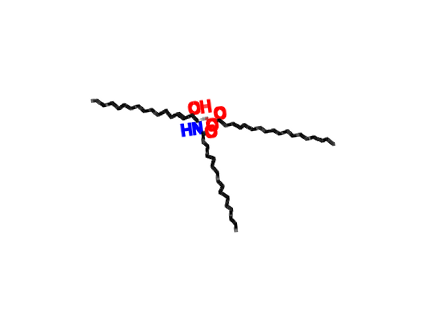 CCCCCCCCCCCCC/C=C/[C@@H](O)[C@H](COC(=O)CCCCCCCCCCCCCCCCC)NC(=O)CCCCCCCCCCCCCCC